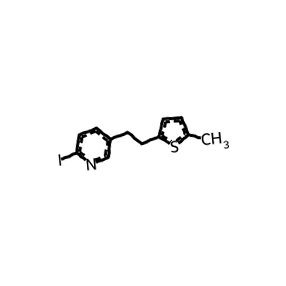 Cc1ccc(CCc2ccc(I)nc2)s1